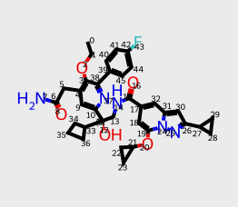 CCOc1c(CC(N)=O)cc([C@@](O)(CNC(=O)c2cc(OC3CC3)n3nc(C4CC4)cc3c2)C2CCC2)nc1-c1ccc(F)cc1